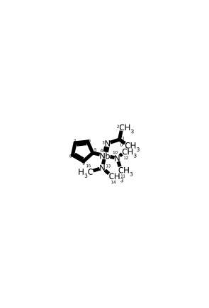 CC(C)[N]=[Nb]([CH]1C=CC=C1)([N](C)C)[N](C)C